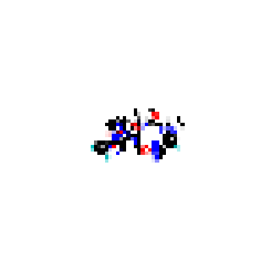 CO[C@H]1CN(C)C(=O)[C@@H]2C[C@@H](CN2c2nc(N3[C@H]4C[C@@H]3C(=O)N(CC3CC3)C4)nc3c2cnn3-c2ccc(F)cc2F)Oc2nccc(n2)-c2cc(F)cc3nc(C)n(c23)C1